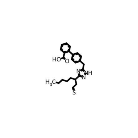 CCCCCC(CC=S)c1n[nH]c(Cc2ccc(-c3ccccc3C(=O)O)cc2)n1